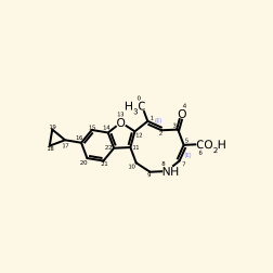 C/C1=C\C(=O)/C(C(=O)O)=C\NCCc2c1oc1cc(C3CC3)ccc21